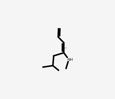 C=C/C=C(\CC(C)C)NC